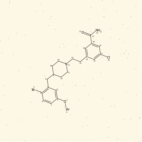 CC(C)Oc1ccc(Br)c(CC2CCN(CCc3cc(Cl)cc(C(N)=O)c3)CC2)c1